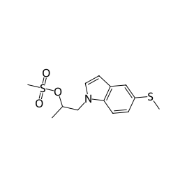 CSc1ccc2c(ccn2CC(C)OS(C)(=O)=O)c1